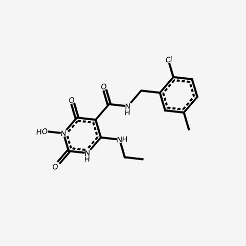 CCNc1[nH]c(=O)n(O)c(=O)c1C(=O)NCc1cc(C)ccc1Cl